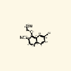 CC(C)(C)COc1c(C#N)cnc2ccc(I)cc12